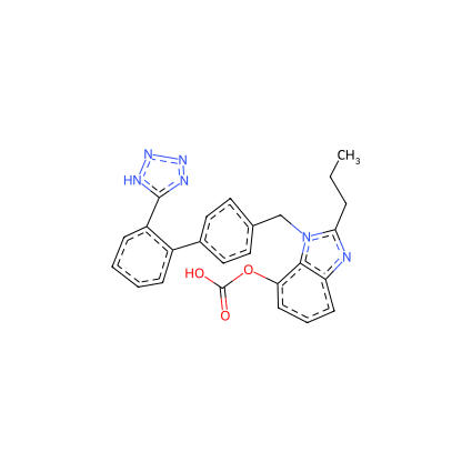 CCCc1nc2cccc(OC(=O)O)c2n1Cc1ccc(-c2ccccc2-c2nnn[nH]2)cc1